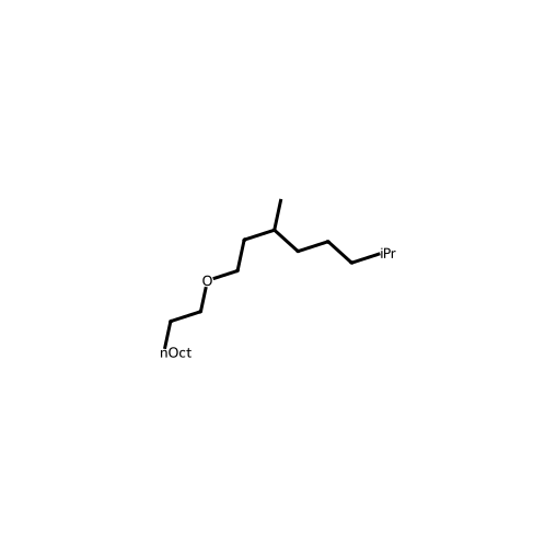 CCCCCCCCCCOCCC(C)CCCC(C)C